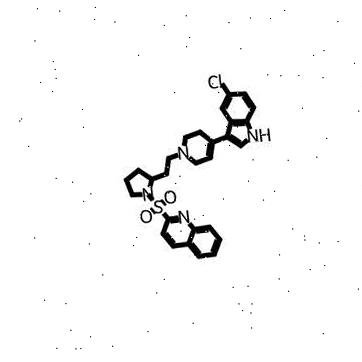 O=S(=O)(c1ccc2ccccc2n1)N1CCCC1CCN1CC=C(c2c[nH]c3ccc(Cl)cc23)CC1